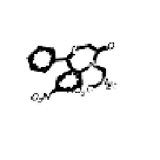 CCN(CN1C(=O)CN=C(c2ccccc2)c2cc([N+](=O)[O-])ccc21)C(=O)O